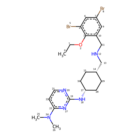 CCOc1c(Br)cc(Br)cc1CNC[C@H]1CC[C@@H](Nc2nccc(N(C)C)n2)CC1